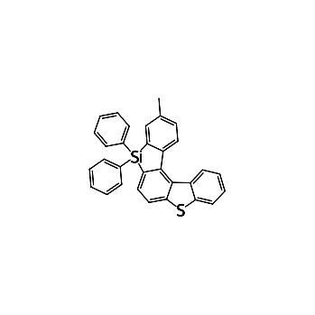 Cc1ccc2c(c1)[Si](c1ccccc1)(c1ccccc1)c1ccc3sc4ccccc4c3c1-2